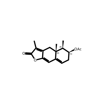 CC(=O)O[C@H]1CC=C2C=C3OC(=O)C(C)=C3C[C@]2(C)[C@H]1C